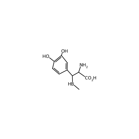 CBC(c1ccc(O)c(O)c1)C(N)C(=O)O